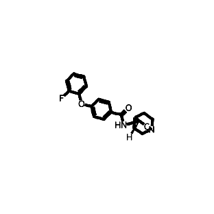 O=C(N[C@H]1CN2CCC1CC2)c1ccc(Oc2ccccc2F)cc1